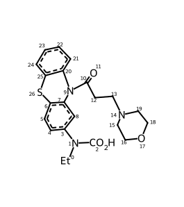 CCN(C(=O)O)c1ccc2c(c1)N(C(=O)CCN1CCOCC1)c1ccccc1S2